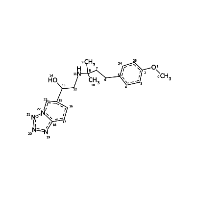 COc1ccc(CCC(C)(C)NCC(O)c2ccc3nnnn3c2)cc1